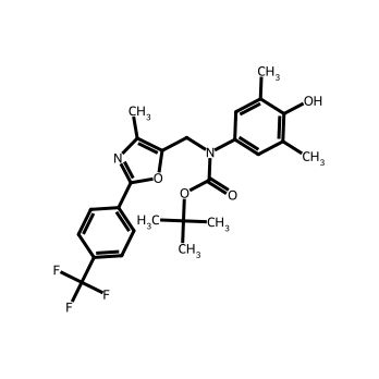 Cc1cc(N(Cc2oc(-c3ccc(C(F)(F)F)cc3)nc2C)C(=O)OC(C)(C)C)cc(C)c1O